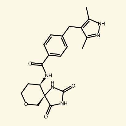 Cc1n[nH]c(C)c1Cc1ccc(C(=O)N[C@@H]2CCOC[C@]23NC(=O)NC3=O)cc1